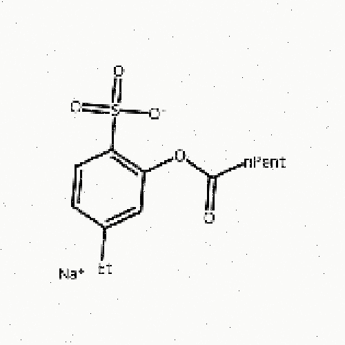 CCCCCC(=O)Oc1cc(CC)ccc1S(=O)(=O)[O-].[Na+]